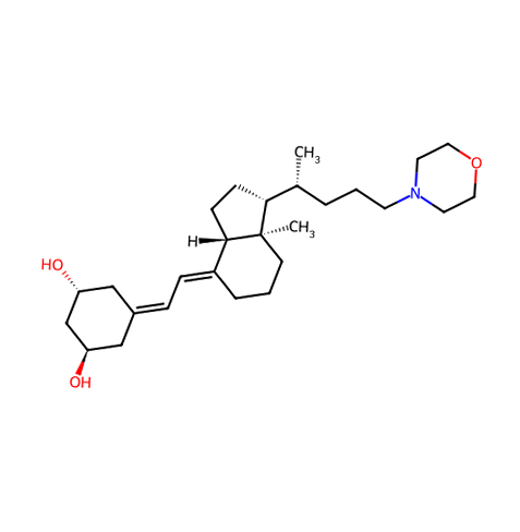 C[C@H](CCCN1CCOCC1)[C@H]1CC[C@H]2/C(=C/C=C3C[C@@H](O)C[C@H](O)C3)CCC[C@]12C